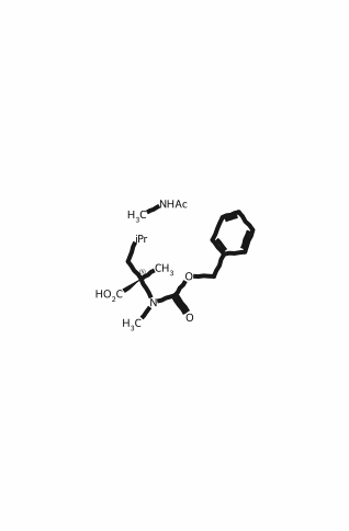 CC(C)C[C@@](C)(C(=O)O)N(C)C(=O)OCc1ccccc1.CNC(C)=O